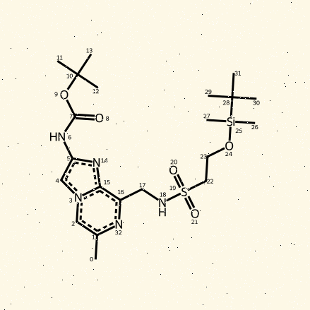 Cc1cn2cc(NC(=O)OC(C)(C)C)nc2c(CNS(=O)(=O)CCO[Si](C)(C)C(C)(C)C)n1